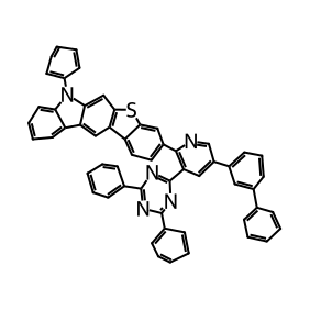 c1ccc(-c2cccc(-c3cnc(-c4ccc5c(c4)sc4cc6c(cc45)c4ccccc4n6-c4ccccc4)c(-c4nc(-c5ccccc5)nc(-c5ccccc5)n4)c3)c2)cc1